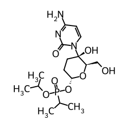 CC(C)OP(=O)(O[C@@H]1CC[C@](O)(n2ccc(N)nc2=O)[C@@H](CO)O1)C(C)C